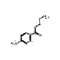 CNc1ccc(C(=O)OCCN)cc1